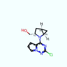 OC[C@@H]1C[C@H]2C[C@H]2N1c1nc(Cl)nn2cccc12